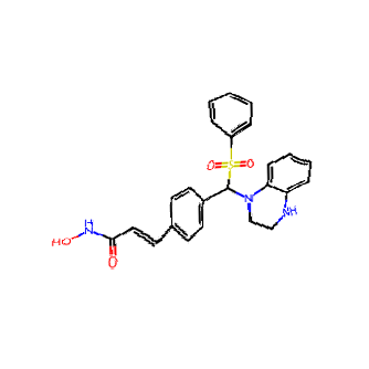 O=C(C=Cc1ccc(C(N2CCNc3ccccc32)S(=O)(=O)c2ccccc2)cc1)NO